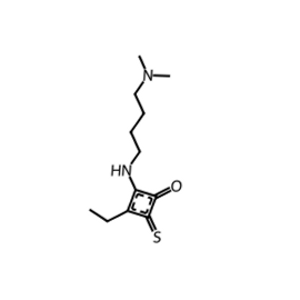 CCc1c(NCCCCN(C)C)c(=O)c1=S